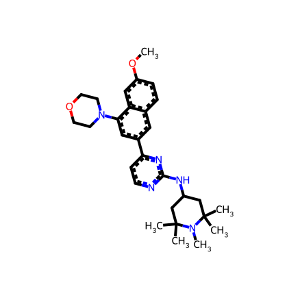 COc1ccc2cc(-c3ccnc(NC4CC(C)(C)N(C)C(C)(C)C4)n3)cc(N3CCOCC3)c2c1